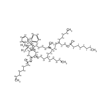 CCCCCCCC(=O)OCCC(CCCCC)CCC(CCC(CCCCC)CCS[C@@H]1CCCC[C@H]1OC(=O)CCCCCCC)N(C)CCCCO[Si](c1ccccc1)(c1ccccc1)C(C)(C)C